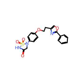 O=C1CN(c2ccc(OCCc3coc(-c4ccccc4)n3)cc2)S(=O)(=O)N1